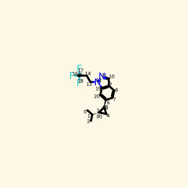 CC(C)[C@H]1C[C@@H]1c1ccc2cnn(CCC(F)(F)F)c2c1